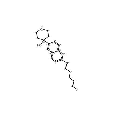 CCCCCCOc1ccc2cc(C3(O)CCNCC3)ccc2c1